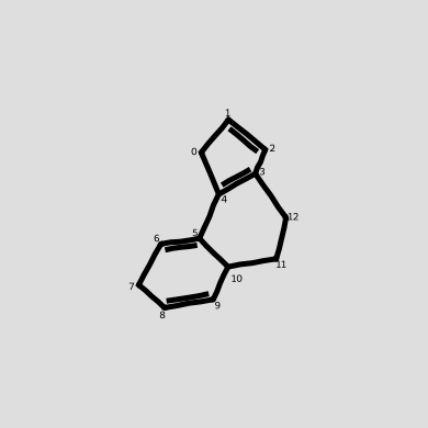 [CH]1C=CC2=C1C1=CCC=CC1CC2